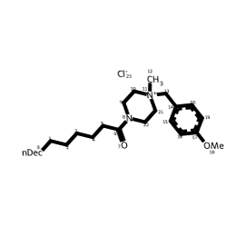 CCCCCCCCCCCCCCCC(=O)N1CC[N+](C)(Cc2ccc(OC)cc2)CC1.[Cl-]